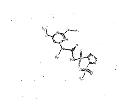 COc1nc(OC)nc(N(C)C(=O)NS(=O)(=O)c2ccsc2S(C)(=O)=O)n1